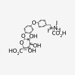 O=C(O)[C@H]1OC(Oc2ccc(Oc3ccc(C[C@@](I)(C(=O)O)N(I)I)cc3)cc2)[C@H](O)[C@@H](O)[C@@H]1O